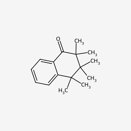 CC1(C)C(=O)c2ccccc2C(C)(C)C1(C)C